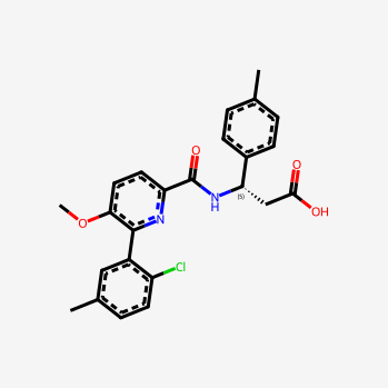 COc1ccc(C(=O)N[C@@H](CC(=O)O)c2ccc(C)cc2)nc1-c1cc(C)ccc1Cl